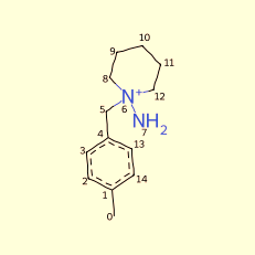 Cc1ccc(C[N+]2(N)CCCCC2)cc1